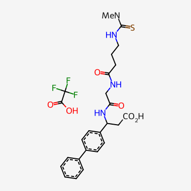 CNC(=S)NCCCC(=O)NCC(=O)NC(CC(=O)O)c1ccc(-c2ccccc2)cc1.O=C(O)C(F)(F)F